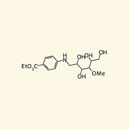 CCOC(=O)c1ccc(NCC(O)C(O)C(OC)C(O)CO)cc1